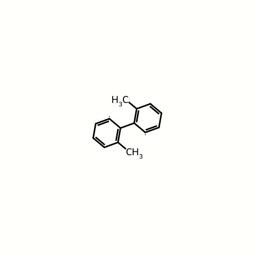 Cc1ccc[c]c1-c1[c]cccc1C